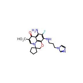 Nc1c(F)c(NCCCn2ccnc2)c2c3c1c(=O)c(C(=O)O)cn3C1(CCCC1)CO2